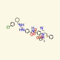 CN(C)CC[C@H](CSc1ccccc1)Nc1ccc(S(=O)(=O)NC(=O)c2ccc(NCCNC[C@@H]3CCCC[C@H]3c3ccc(Cl)cc3)cc2)cc1S(=O)(=O)C(F)(F)F